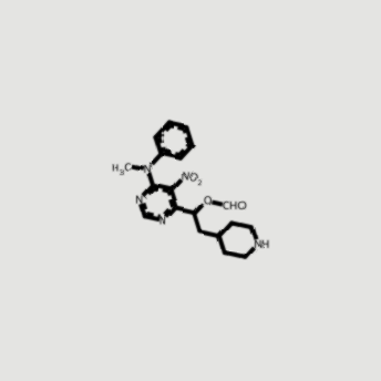 CN(c1ccccc1)c1ncnc(C(CC2CCNCC2)OC=O)c1[N+](=O)[O-]